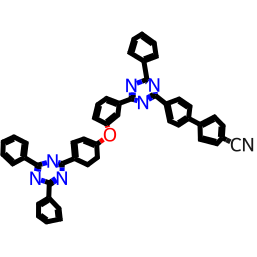 N#Cc1ccc(-c2ccc(-c3nc(-c4ccccc4)nc(-c4cccc(OC5=CC=C(c6nc(-c7ccccc7)nc(-c7ccccc7)n6)CC5)c4)n3)cc2)cc1